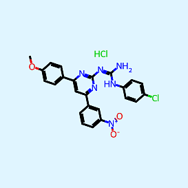 COc1ccc(-c2cc(-c3cccc([N+](=O)[O-])c3)nc(N=C(N)Nc3ccc(Cl)cc3)n2)cc1.Cl